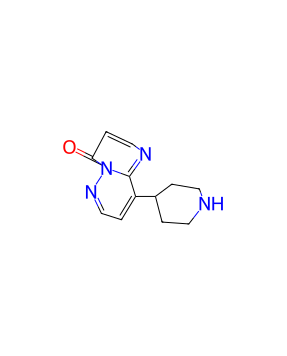 O=c1ccnc2c(C3CCNCC3)ccnn12